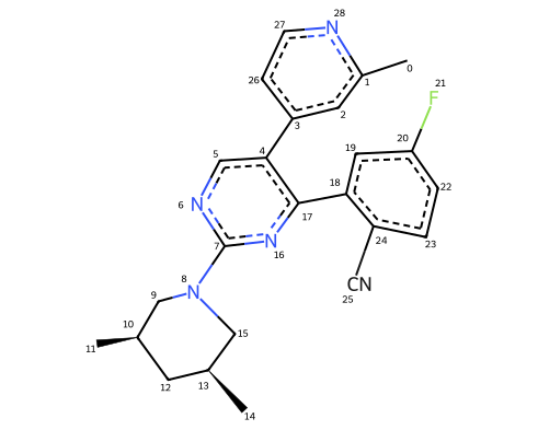 Cc1cc(-c2cnc(N3C[C@H](C)C[C@H](C)C3)nc2-c2cc(F)ccc2C#N)ccn1